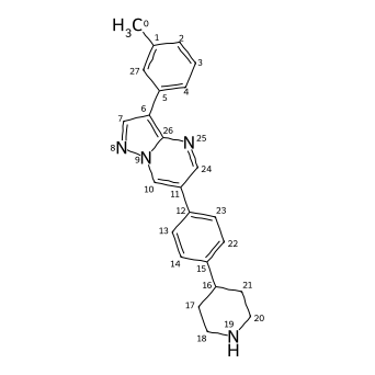 Cc1cccc(-c2cnn3cc(-c4ccc(C5CCNCC5)cc4)cnc23)c1